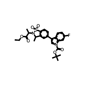 CCOC(=O)C(C)N1C(C)c2cc(-c3cn(C(=O)OC(C)(C)C)c4cc(F)ccc34)ccc2S1(=O)=O